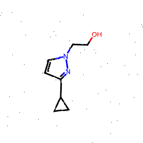 OCCn1c[c]c(C2CC2)n1